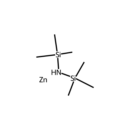 C[Si](C)(C)N[Si](C)(C)C.[Zn]